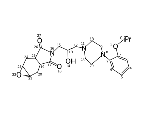 CC(C)Oc1ccccc1N1CCN(CC(O)CN2C(=O)C3CC4OC4CC3C2=O)CC1